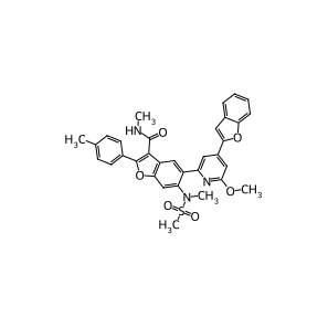 CNC(=O)c1c(-c2ccc(C)cc2)oc2cc(N(C)S(C)(=O)=O)c(-c3cc(-c4cc5ccccc5o4)cc(OC)n3)cc12